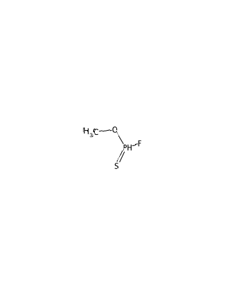 CO[PH](F)=S